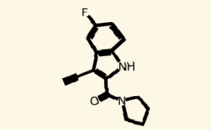 C#Cc1c(C(=O)N2CCCC2)[nH]c2ccc(F)cc12